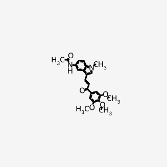 COc1cc(C(=O)C=Cc2cn(C)c3ccc(NC(C)=O)cc23)cc(OC)c1OC